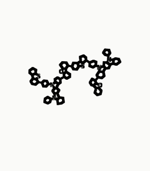 c1ccc(-n2c3ccccc3c3cc4c5cc(-c6cccc7c6oc6cccc(-c8ccc9sc%10c(-c%11ccc(-n%12c%13cc(-c%14cccc%15c%14oc%14ccccc%14%15)ccc%13c%13cc%14c%15ccccc%15n(-c%15ccccc%15)c%14cc%13%12)cc%11)cccc%10c9c8)c67)ccc5n(-c5ccc(-c6cccc7c6sc6ccccc67)cc5)c4cc32)cc1